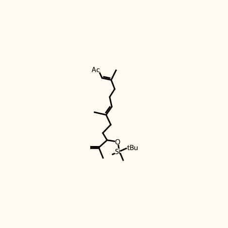 C=C(C)C(CC/C(C)=C/CCC(C)=CC(C)=O)O[Si](C)(C)C(C)(C)C